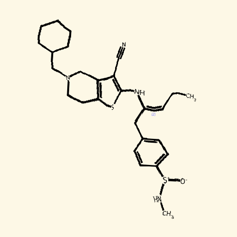 CC/C=C(/Cc1ccc([S+]([O-])NC)cc1)Nc1sc2c(c1C#N)CN(CC1CCCCC1)CC2